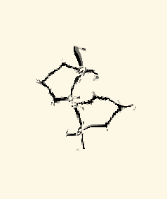 CC1CO[Si](C)(C)C1.C[Si]1(C)CCCO1